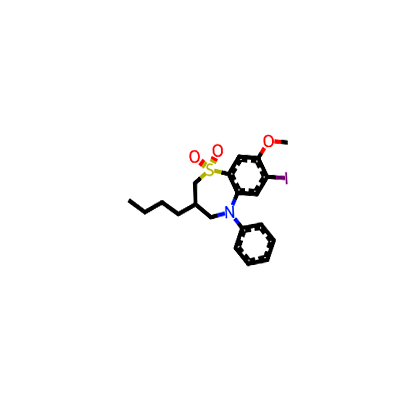 CCCCC1CN(c2ccccc2)c2cc(I)c(OC)cc2S(=O)(=O)C1